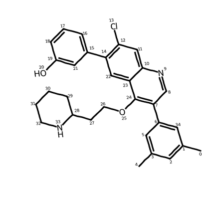 Cc1cc(C)cc(-c2cnc3cc(Cl)c(-c4cccc(O)c4)cc3c2OCCC2CCCCN2)c1